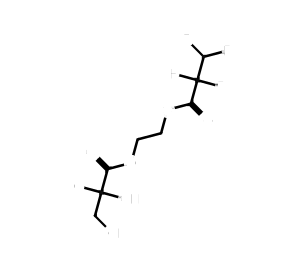 CCC(C)(C)C(=O)OCCOC(=O)C(F)(F)C(F)F